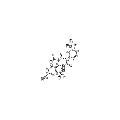 CC(=O)C1=C(C)N(c2cccc(C(F)(F)F)c2)C(=O)NC1c1ccc(C#N)cc1S(C)(=O)=O